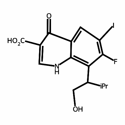 CC(C)C(CO)c1c(F)c(I)cc2c(=O)c(C(=O)O)c[nH]c12